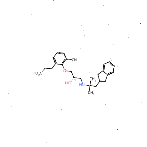 CC(C)(CC1Cc2ccccc2C1)NC[C@H](O)COc1c(C#N)cccc1CCC(=O)O